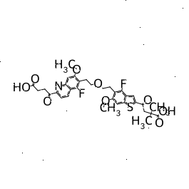 COc1cc2nc(C(=O)CCC(=O)O)ccc2c(F)c1CCOCCc1c(OC)cc2sc(C(=O)CC(C)(C)C(=O)O)cc2c1F